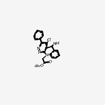 CC(C)COC(=O)CNc1nnc(-c2ccccc2)c(Cl)c1C(=N)c1ccccc1